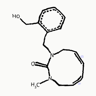 CN1C/C=C\C=C/CN(Cc2ccccc2CO)C1=O